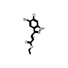 CCOC(=O)/C=C/c1n[nH]c2cc(Cl)c(Br)cc12